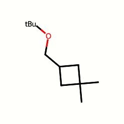 CC1(C)CC(COC(C)(C)C)C1